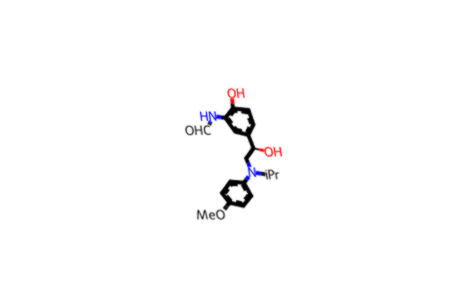 COc1ccc(N(C[C@H](O)c2ccc(O)c(NC=O)c2)C(C)C)cc1